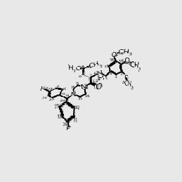 COc1cc(CN[C@@H](CC(C)C)C(=O)N2CCN(C(c3ccc(F)cc3)c3ccc(F)cc3)CC2)cc(OC)c1OC